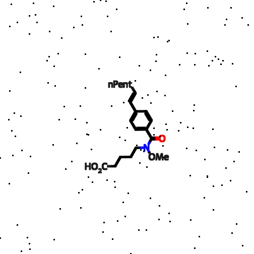 CCCCCC=Cc1ccc(C(=O)N(CCCCC(=O)O)OC)cc1